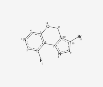 Fc1cncc2c1-c1ncc(Br)n1CO2